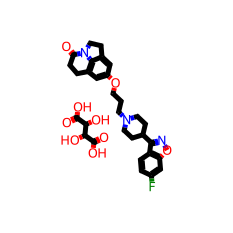 O=C(O)C(O)C(O)C(=O)O.O=C1CCc2cc(OCCCN3CCC(c4noc5cc(F)ccc45)CC3)cc3c2N1CC3